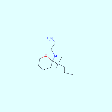 CCC[Si](C)(C)C1(NCCN)CCCCO1